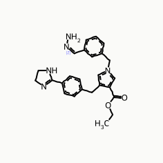 CCOC(=O)c1cn(Cc2cccc(/C=N\N)c2)cc1Cc1ccc(C2=NCCN2)cc1